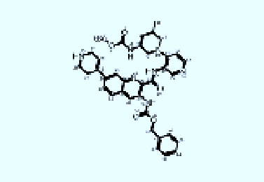 C[C@@H]1C[C@H](NC(=O)OC(C)(C)C)CN(c2ccncc2NC(=O)c2nc3cc(C4=CCNCC4)ccc3cc2NC(=O)OCc2ccccc2)C1